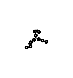 c1ccc(-c2ccc(-c3ccc(N(c4ccc(-c5ccc6oc7c(-c8ccccc8)cccc7c6c5)cc4)c4ccc(-c5cccc6sc7ccccc7c56)cc4)cc3)cc2)cc1